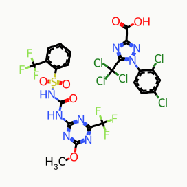 COc1nc(NC(=O)NS(=O)(=O)c2ccccc2C(F)(F)F)nc(C(F)(F)F)n1.O=C(O)c1nc(C(Cl)(Cl)Cl)n(-c2ccc(Cl)cc2Cl)n1